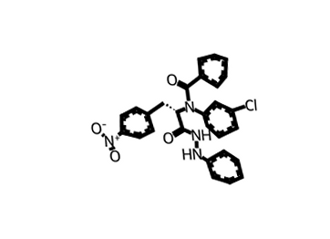 O=C(NNc1ccccc1)[C@H](Cc1ccc([N+](=O)[O-])cc1)N(C(=O)c1ccccc1)c1cccc(Cl)c1